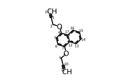 C#CCOc1ccc(OCC#C)c2ccccc12